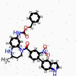 CC1CCN(C(=O)c2ccc(-c3ccc4[nH]ccc4c3)c([N+](=O)[O-])c2)c2cc(NC(=O)OCc3ccccc3)ccc2N1